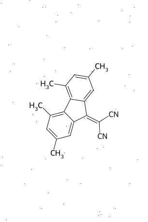 Cc1cc(C)c2c(c1)C(=C(C#N)C#N)c1cc(C)cc(C)c1-2